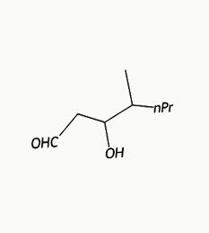 CCCC(C)C(O)CC=O